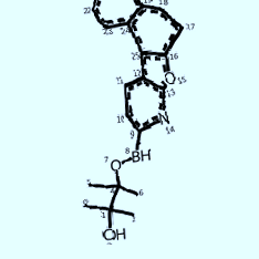 CC(C)(O)C(C)(C)OBc1ccc2c(n1)oc1ccc3ccccc3c12